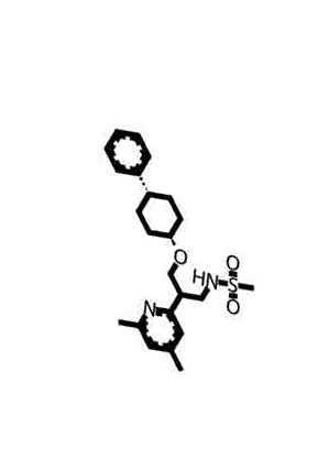 Cc1cc(C)nc(C(CNS(C)(=O)=O)CO[C@H]2CC[C@@H](c3ccccc3)CC2)c1